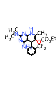 CCOC(=O)OC1=C(C)Nc2nc(N(C)C)nc(N)c2C1c1ccccc1C(F)(F)F